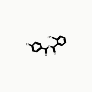 CCCc1ccccc1C(=O)OC(=O)c1ccc(CC)cc1